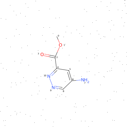 COC(=O)c1cc(N)cnn1